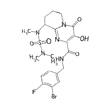 CN(C)S(=O)(=O)N(C)C1CCCn2c1nc(C(=O)NCc1ccc(F)c(Br)c1)c(O)c2=O